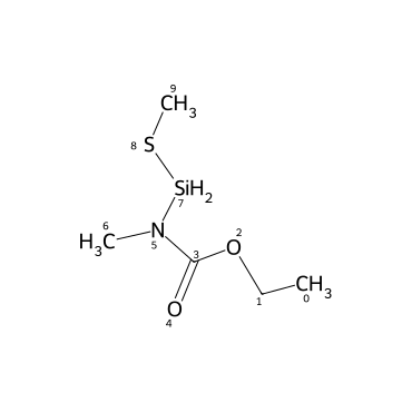 CCOC(=O)N(C)[SiH2]SC